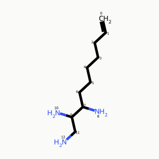 C=CCCCCCC(N)C(N)CN